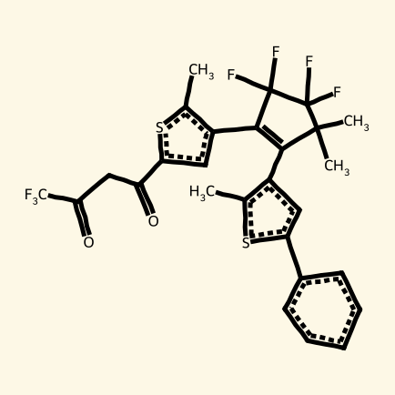 Cc1sc(-c2ccccc2)cc1C1=C(c2cc(C(=O)CC(=O)C(F)(F)F)sc2C)C(F)(F)C(F)(F)C1(C)C